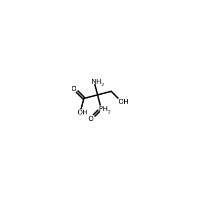 NC(CO)([PH2]=O)C(=O)O